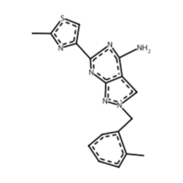 Cc1nc(-c2nc(N)c3cn(Cc4ccccc4C)nc3n2)cs1